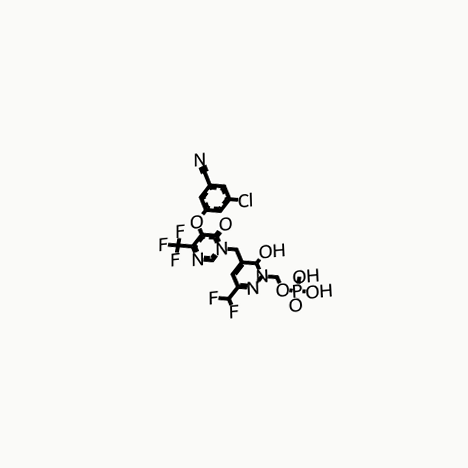 N#Cc1cc(Cl)cc(Oc2c(C(F)(F)F)ncn(CC3=CC(C(F)F)=NN(COP(=O)(O)O)C3O)c2=O)c1